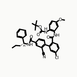 CCC[C@@H](NC(=O)c1ccc(-c2cc(Cl)ccc2C(=O)Nc2cc(OC)ccc2NC(=O)OC(C)(C)C)c(C#N)c1)c1ccccc1